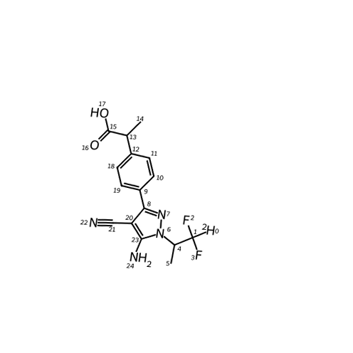 [2H]C(F)(F)C(C)n1nc(-c2ccc(C(C)C(=O)O)cc2)c(C#N)c1N